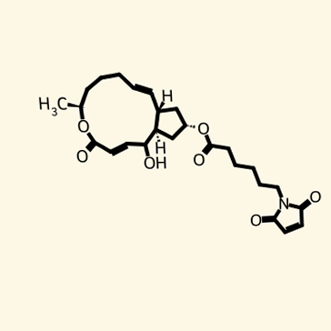 C[C@H]1CCC/C=C/[C@@H]2C[C@H](OC(=O)CCCCCN3C(=O)C=CC3=O)C[C@H]2C(O)/C=C/C(=O)O1